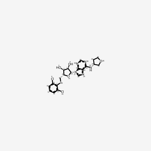 O[C@@H]1[C@H](O)[C@@H](CSc2c(Cl)cccc2Cl)O[C@H]1n1cnc2c(N[C@@H]3CCOC3)ncnc21